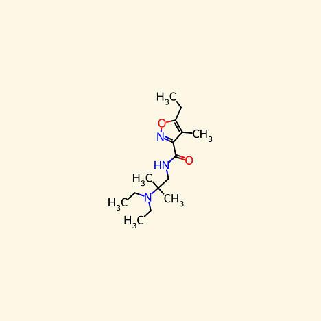 CCc1onc(C(=O)NCC(C)(C)N(CC)CC)c1C